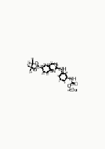 CC(C)(C)OC(=O)Nc1cccc(Nc2ncc3cc(B4OC(C)(C)C(C)(C)O4)ccc3n2)c1